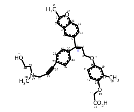 Cc1cc2cc(/C(=C/COc3ccc(OCC(=O)O)c(C)c3)c3ccc(C#CCN(C)CCO)cc3)ccc2o1